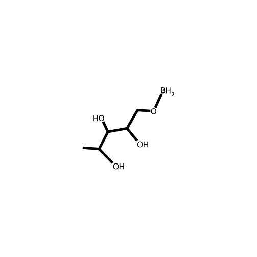 BOCC(O)C(O)C(C)O